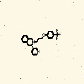 FC(F)(F)c1ccc(OCCCN2Cc3ccccc3C[C@@H]2c2cccnc2)cc1